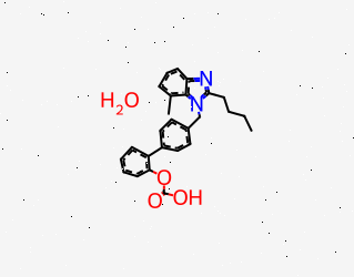 CCCCc1nc2cccc(C)c2n1Cc1ccc(-c2ccccc2OC(=O)O)cc1.O